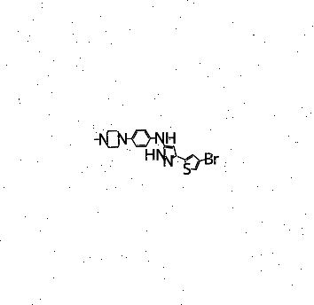 CN1CCN(c2ccc(Nc3cc(-c4cc(Br)cs4)n[nH]3)cc2)CC1